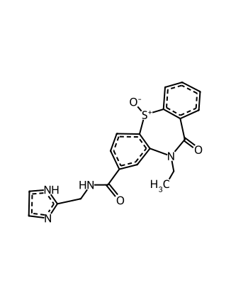 CCN1C(=O)c2ccccc2[S+]([O-])c2ccc(C(=O)NCc3ncc[nH]3)cc21